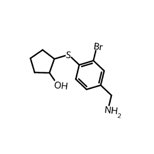 NCc1ccc(SC2CCCC2O)c(Br)c1